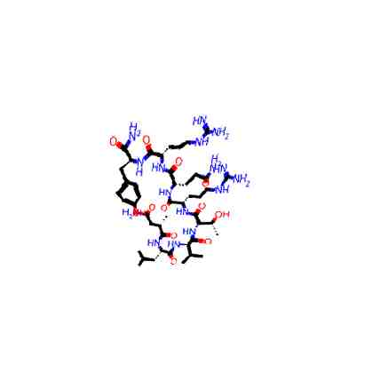 CC(C)C[C@H](NC(=O)[C@@H](C)CC(N)=O)C(=O)N[C@@H](C(=O)N[C@H](C(=O)N[C@@H](CCCNC(=N)N)C(=O)N[C@@H](CCC(N)=O)C(=O)N[C@@H](CCCNC(=N)N)C(=O)N[C@@H](Cc1ccc(O)cc1)C(N)=O)[C@@H](C)O)C(C)C